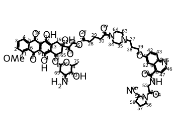 COc1cccc2c1C(=O)c1c(O)c3c(c(O)c1C2=O)CC(O)(C(=O)COC(=O)CCCC(=O)N1CCN(CCCOc2ccc4nccc(C(=O)NCC(=O)N5CCC[C@H]5C#N)c4c2)CC1)CC3OC1CC(N)C(O)C(C)O1